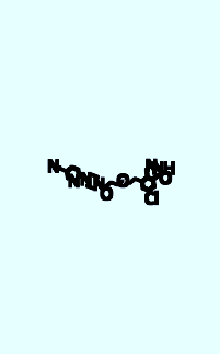 N#Cc1ccc(N2CCN(C(=O)CCOCCc3cc(Cl)cc4c(=O)[nH]ncc34)CC2)nc1